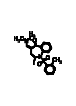 Cc1ccccc1S(=O)(=O)N1c2ccccc2C(=O)C(=CN(C)C)CC1I